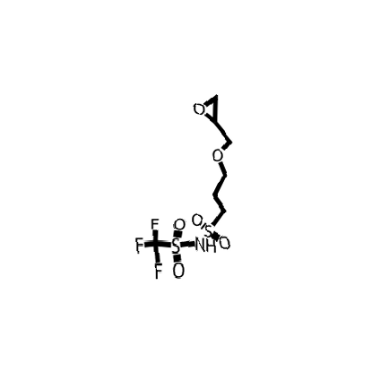 O=S(=O)(CCCOCC1CO1)NS(=O)(=O)C(F)(F)F